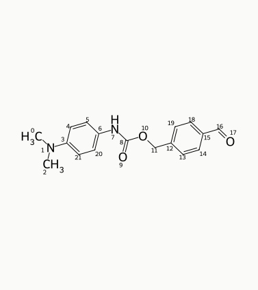 CN(C)c1ccc(NC(=O)OCc2ccc(C=O)cc2)cc1